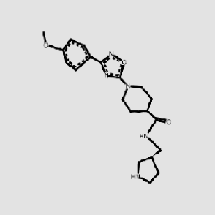 COc1ccc(-c2noc(N3CCC(C(=O)NC[C@H]4CCNC4)CC3)n2)cc1